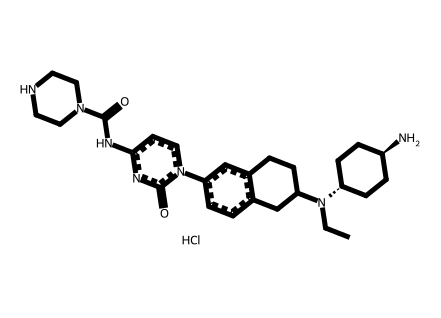 CCN(C1CCc2cc(-n3ccc(NC(=O)N4CCNCC4)nc3=O)ccc2C1)[C@H]1CC[C@H](N)CC1.Cl